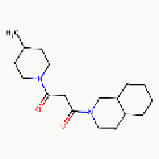 CC1CCN(C(=O)CC(=O)N2CCC3CCCCC3C2)CC1